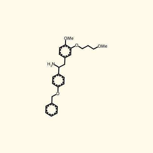 COCCCOc1cc(CC(N)c2ccc(OCc3ccccc3)cc2)ccc1OC